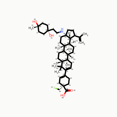 C=C(C)C1CC[C@]2(NCC[C@]3(O)CC[C@@](C)(O)CC3)CC[C@]3(C)[C@H](CC[C@@H]4[C@@]5(C)CC=C(C6=CC[C@](CF)(C(=O)O)CC6)C(C)(C)[C@@H]5CC[C@]43C)[C@@H]12